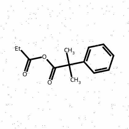 CCC(=O)OC(=O)C(C)(C)c1ccccc1